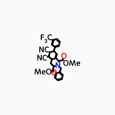 COC(=O)C1CC2C(=CC(c3cccc(C(F)(F)F)c3)C(C#N)C2C#N)C(C(=O)OC)N1Cc1ccccc1